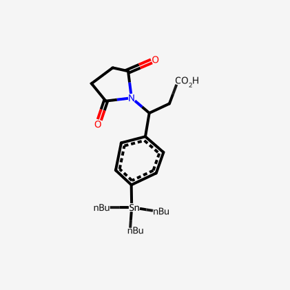 CCC[CH2][Sn]([CH2]CCC)([CH2]CCC)[c]1ccc(C(CC(=O)O)N2C(=O)CCC2=O)cc1